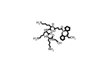 C#CCNC(=O)C(CCCCN)NC(=O)C(CCCCN)NC(=O)C(CCCCN)NC(=O)CCC(=O)N1Cc2ccccc2/C(CC)=C\c2ccccc21